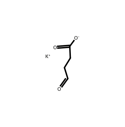 O=CCCC(=O)[O-].[K+]